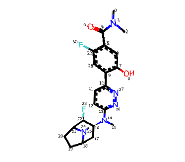 CN(C)C(=O)c1cc(O)c(-c2ccc(N(C)[C@H]3CC4CCC([C@H]3F)N4C)nn2)cc1F